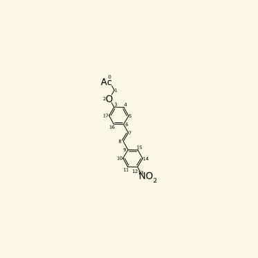 CC(=O)COc1ccc(/C=C/c2ccc([N+](=O)[O-])cc2)cc1